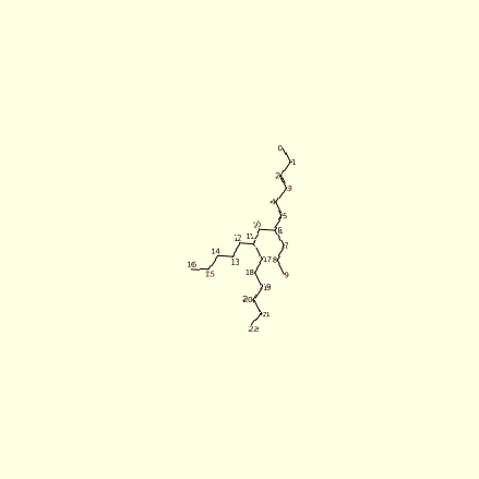 CCCCCCC(CCC)CC(CCCCC)CCCCCC